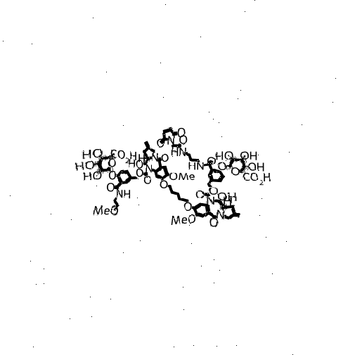 C=C1C[C@H]2C(O)N(C(=O)OCc3ccc(O[C@@H]4O[C@H](C(=O)O)[C@@H](O)[C@H](O)[C@H]4O)c(C(=O)NCCCNC(=O)CN4C(=O)C=CC4=O)c3)c3cc(OCCCCCOc4cc5c(cc4OC)C(=O)N4CC(=C)C[C@H]4C(O)N5C(=O)OCc4ccc(O[C@@H]5O[C@H](C(=O)O)[C@@H](O)[C@H](O)[C@H]5O)c(C(=O)NCCOC)c4)c(OC)cc3C(=O)N2C1